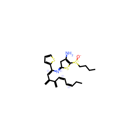 C=C(/C=C\C=C/CC)C(=C)/C=C(\N=C1/CC(N)=C([S+]([O-])CCCC)S1)c1cccs1